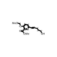 COCOc1ccc(C#CCCCO)nc1C(=O)OC